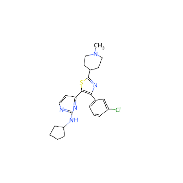 CN1CCC(c2nc(-c3cccc(Cl)c3)c(-c3ccnc(NC4CCCC4)n3)s2)CC1